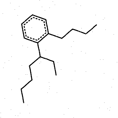 CCCC[C](CC)c1ccccc1CCCC